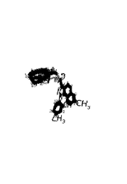 Cc1ccc2c(c1)CCc1c(C(=O)NCC3CCC4CC3C4(C)C)nn(C3=CCC(C)C=C3Cl)c1-2